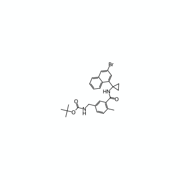 Cc1ccc(CNC(=O)OC(C)(C)C)cc1C(=O)NC1(c2cc(Br)cc3ccccc23)CC1